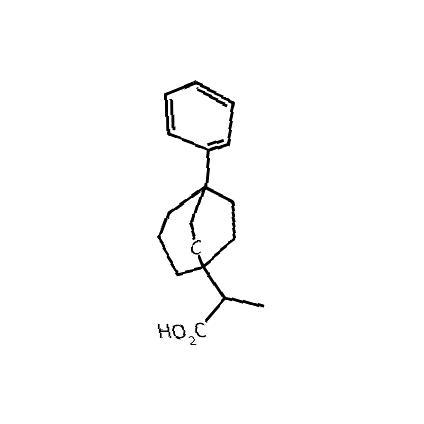 CC(C(=O)O)C12CCCC(c3ccccc3)(CC1)CC2